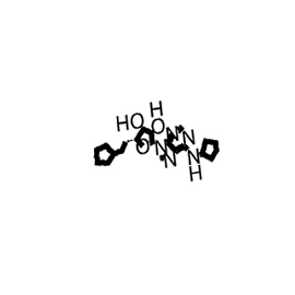 O[C@@H]1[C@H](O)[C@@H](CCC2CCCC2)O[C@H]1n1cnc2c(NC3CCCC3)ncnc21